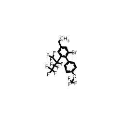 CCc1[c]c(Br)c(-c2ccc(OC(F)(F)F)cc2)c(C(F)(C(F)(F)F)C(F)(F)C(F)(F)F)c1